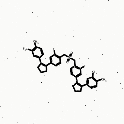 Cc1ccc(C2=C(c3ccc(CS(=O)(=O)Cc4ccc(C5=C(c6ccc(C)c(C(F)(F)F)c6)CCC5)cc4F)c(F)c3)CCC2)cc1C(F)(F)F